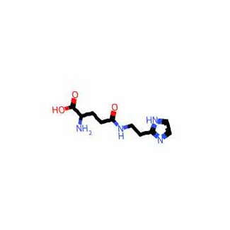 NC(CCC(=O)NCCc1ncc[nH]1)C(=O)O